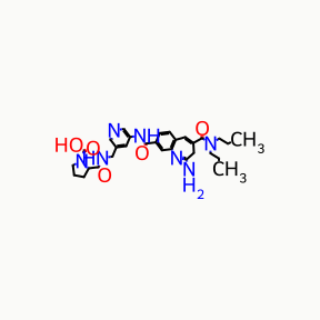 CCCN(CCC)C(=O)C1=Cc2ccc(C(=O)Nc3cncc(CNC(=O)C4CCCN4C(=O)O)c3)cc2N=C(N)C1